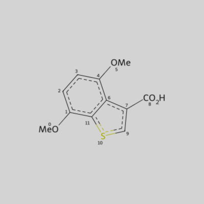 COc1ccc(OC)c2c(C(=O)O)csc12